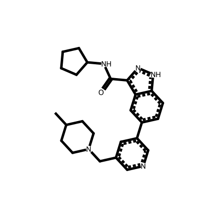 CC1CCN(Cc2cncc(-c3ccc4[nH]nc(C(=O)NC5CCCC5)c4c3)c2)CC1